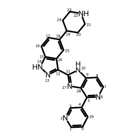 c1cncc(-c2nccc3[nH]c(-c4n[nH]c5ccc(C6CCNCC6)cc45)nc23)c1